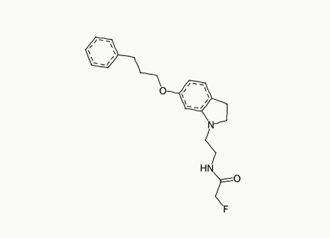 O=C(CF)NCCN1CCc2ccc(OCCCc3ccccc3)cc21